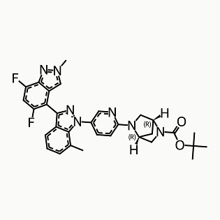 Cc1cccc2c(-c3c(F)cc(F)c4nn(C)cc34)nn(-c3ccc(N4C[C@H]5C[C@@H]4CN5C(=O)OC(C)(C)C)nc3)c12